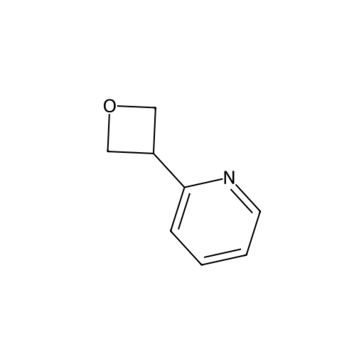 c1ccc(C2COC2)nc1